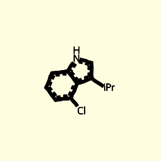 CC(C)c1c[nH]c2cccc(Cl)c12